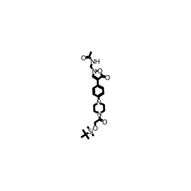 CC(=O)NCn1cc(-c2ccc(N3CCN(C(=O)CO[Si](C)(C)C(C)(C)C)CC3)cc2)c(=O)o1